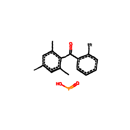 CCc1ccccc1C(=O)c1c(C)cc(C)cc1C.O=PO